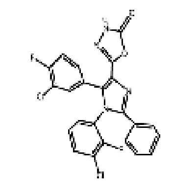 O=c1[nH]nc(-c2nc(-c3ccccc3)n(-c3cccc(Cl)c3F)c2-c2ccc(F)c(Cl)c2)o1